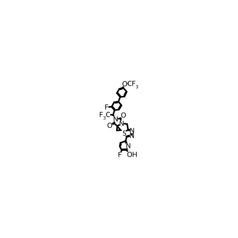 O=C1N(C(c2ccc(-c3ccc(OC(F)(F)F)cc3)cc2F)C(F)(F)F)C(=O)C2(CC2)N1Cc1nnc(-c2ccc(F)c(O)n2)s1